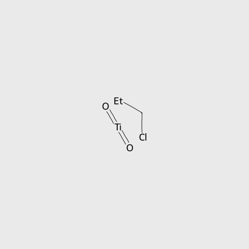 [CH2]CCCl.[O]=[Ti]=[O]